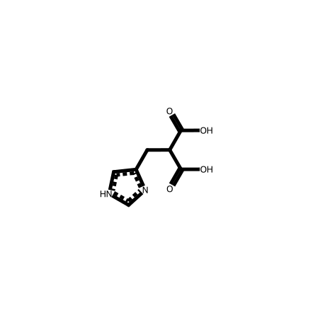 O=C(O)C(Cc1c[nH]cn1)C(=O)O